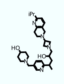 CC(C)c1ccc2c(n1)CCN(C1CN(CC(O)CC(C)c3ccc(CN4CCC(O)CC4)cn3)C1)C2